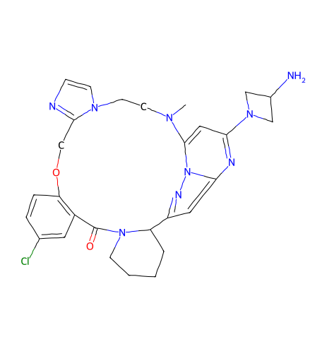 CN1CCn2ccnc2COc2ccc(Cl)cc2C(=O)N2CCCCC2c2cc3nc(N4CC(N)C4)cc1n3n2